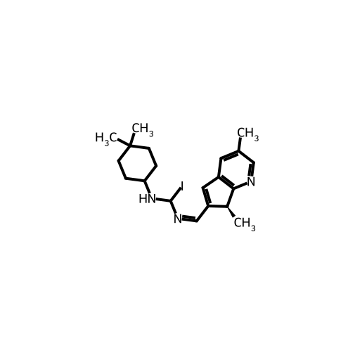 Cc1cnc2c(c1)C=C(/C=N\C(I)NC1CCC(C)(C)CC1)[C@@H]2C